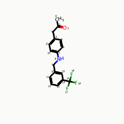 CC(=O)Cc1ccc(NCc2cccc(C(F)(F)F)c2)cc1